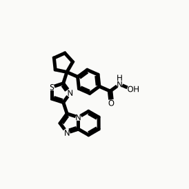 O=C(NO)c1ccc(C2(c3nc(-c4cnc5ccccn45)cs3)CCCC2)cc1